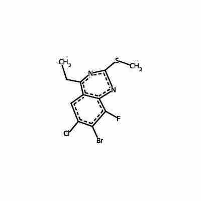 CCc1nc(SC)nc2c(F)c(Br)c(Cl)cc12